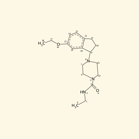 CCNC(=O)N1CCN(C2CCc3ccc(OCC)cc32)CC1